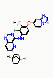 Cc1c(Oc2ccn3ncnc3c2)ccc(Nc2ncnc3ccc([C@@H]4C[C@H]5CC[C@@H]4C5)nc23)c1F